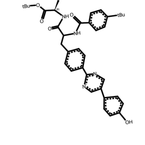 C[C@@H](NC(=O)C(Cc1ccc(-c2ncc(-c3ccc(O)cc3)cn2)cc1)NC(=O)c1ccc(C(C)(C)C)cc1)C(=O)OC(C)(C)C